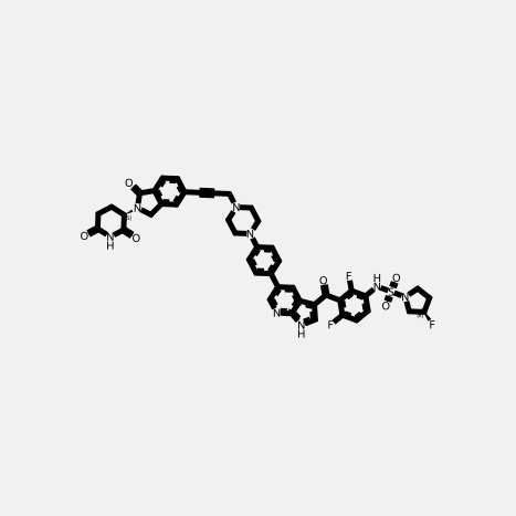 O=C1CC[C@H](N2Cc3cc(C#CCN4CCN(c5ccc(-c6cnc7[nH]cc(C(=O)c8c(F)ccc(NS(=O)(=O)N9CC[C@@H](F)C9)c8F)c7c6)cc5)CC4)ccc3C2=O)C(=O)N1